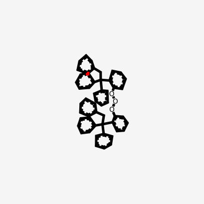 c1ccc(CC(c2ccccc2)(c2ccccc2)c2ccccc2OOOc2ccccc2C(Cc2ccccc2)(c2ccccc2)c2ccccc2)cc1